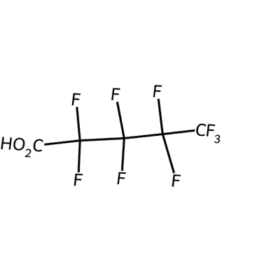 O=C(O)C(F)(F)C(F)(F)C(F)(F)C(F)(F)F